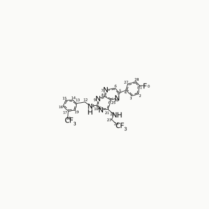 Fc1ccc(-c2cnc3nc(NCc4cccc(C(F)(F)F)c4)nc(NCC(F)(F)F)c3n2)cc1